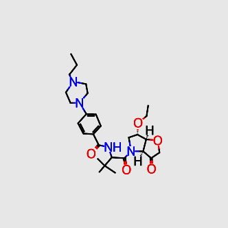 CCCN1CCN(c2ccc(C(=O)NC(C(=O)N3C[C@H](OCC)[C@H]4OCC(=O)[C@H]43)C(C)(C)C)cc2)CC1